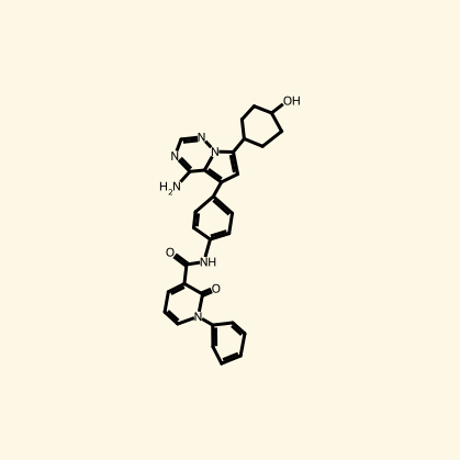 Nc1ncnn2c(C3CCC(O)CC3)cc(-c3ccc(NC(=O)c4cccn(-c5ccccc5)c4=O)cc3)c12